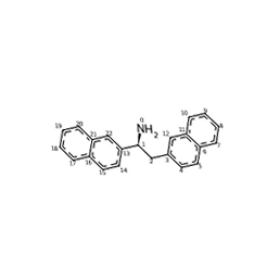 N[C@@H](Cc1ccc2ccccc2c1)c1ccc2ccccc2c1